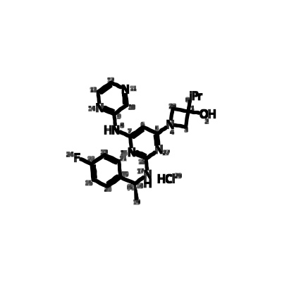 CC(C)C1(O)CN(c2cc(Nc3cnccn3)nc(N[C@@H](C)c3ccc(F)cc3)n2)C1.Cl